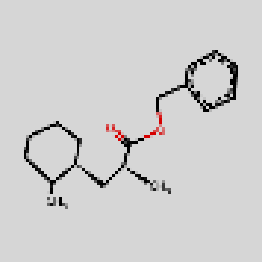 C[C@@H](C[C@@H]1CCCC[C@@H]1C)C(=O)OCc1ccccc1